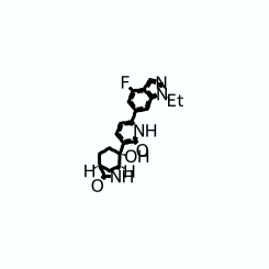 CCn1ncc2c(F)cc(-c3ccc([C@]4(O)CC[C@H]5C[C@@H]4NC5=O)c(=O)[nH]3)cc21